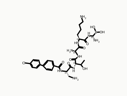 CC(O)[C@H](NC(=O)[C@H](CN)NC(=O)c1ccc(-c2ccc(Cl)cc2)cc1)C(=O)N[C@@H](N)C(=O)N[C@@H](CCCCN)C(=O)N[C@@H](N)B(O)O